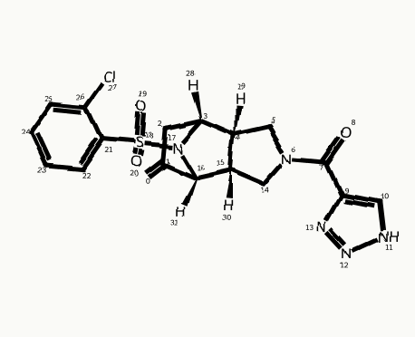 C=C1C[C@@H]2[C@@H]3CN(C(=O)c4c[nH]nn4)C[C@@H]3[C@H]1N2S(=O)(=O)c1ccccc1Cl